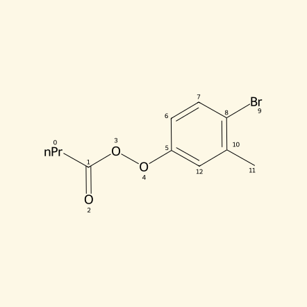 CCCC(=O)OOc1ccc(Br)c(C)c1